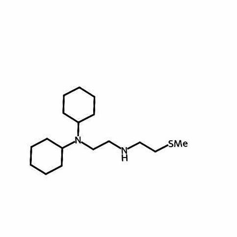 CSCCNCCN(C1CCCCC1)C1CCCCC1